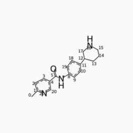 Cc1ccc(C(=O)Nc2ccc(C3CCCNC3)cc2)cn1